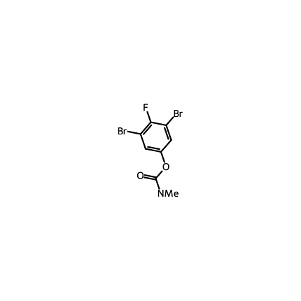 CNC(=O)Oc1cc(Br)c(F)c(Br)c1